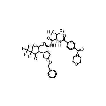 CC(C)C(C(=O)C(F)(F)C(F)(F)F)N1C[C@H](OCc2ccccc2)C[C@H]1C(=O)NC(=O)[C@@H](NC(=O)c1ccc(C(=O)N2CCOCC2)cc1)C(C)C